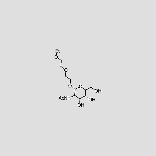 CCOCCOCCO[C@@H]1OC(CO)[C@H](O)[C@H](O)C1NC(C)=O